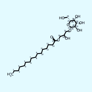 CCCCCCCCCCCCCCCC(=O)OCC(O)CO[C@@H]1O[C@H](CO)[C@H](O)[C@H](O)[C@H]1O